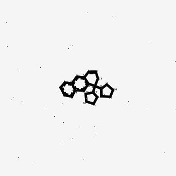 C1=Cc2cc3ccccc3cc2C(C2CCCC2)(C2CCCC2)C1